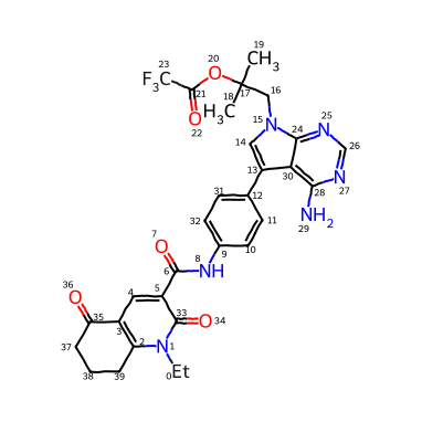 CCn1c2c(cc(C(=O)Nc3ccc(-c4cn(CC(C)(C)OC(=O)C(F)(F)F)c5ncnc(N)c45)cc3)c1=O)C(=O)CCC2